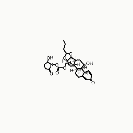 CCCC1O[C@@H]2C[C@H]3[C@@H]4CCC5=CC(=O)C=C[C@]5(C)[C@H]4[C@@H](O)C[C@]3(C)[C@]2(C(=O)COC(=O)ON2C(=O)CCC2O)O1